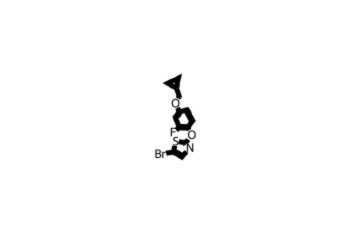 Fc1cc(OCC2CC2)ccc1Oc1ncc(Br)s1